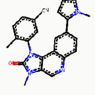 Cc1ccc(C#N)cc1-n1c(=O)n(C)c2cnc3ccc(-c4cccn4C)cc3c21